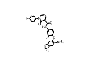 Nc1cc2[nH]ncc2cc1Oc1ccc(NC(=O)c2cccn(-c3ccc(F)cc3)c2=O)cc1F